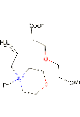 C=CC[N+]1(CC)CCOCC1.COCCOCCC(=O)[O-]